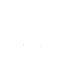 COc1ccc(OCCC(C)C)cc1OC